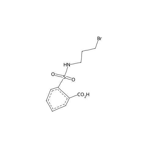 O=C(O)c1ccccc1S(=O)(=O)NCCCBr